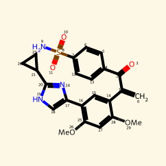 C=C(C(=O)c1ccc(S(N)(=O)=O)cc1)c1cc(-c2c[nH]c(C3CC3)n2)c(OC)cc1OC